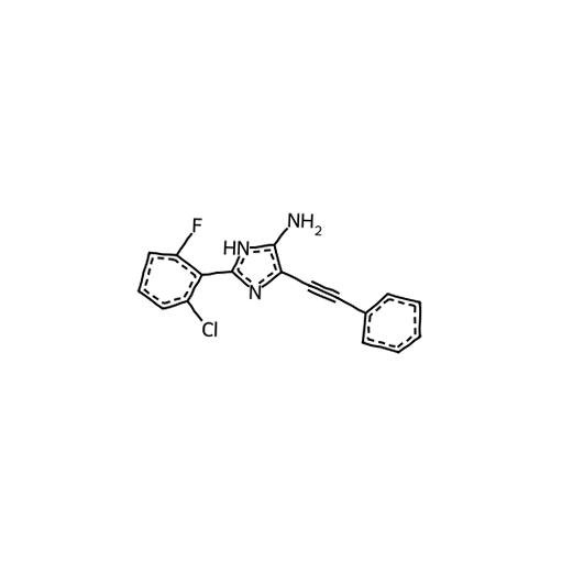 Nc1[nH]c(-c2c(F)cccc2Cl)nc1C#Cc1ccccc1